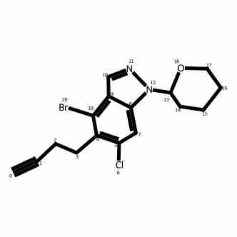 C#CCCc1c(Cl)cc2c(cnn2C2CCCCO2)c1Br